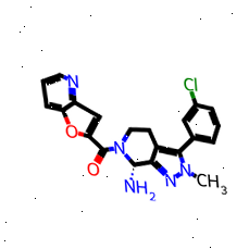 Cn1nc2c(c1-c1cccc(Cl)c1)CCN(C(=O)c1cc3ncccc3o1)[C@H]2N